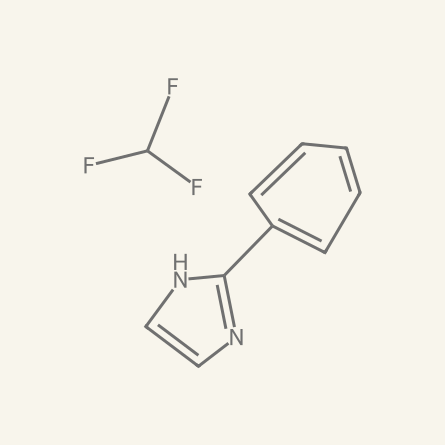 FC(F)F.c1ccc(-c2ncc[nH]2)cc1